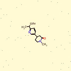 CSC(C)c1ccc(C2CCN(C)C(=O)C2)cn1